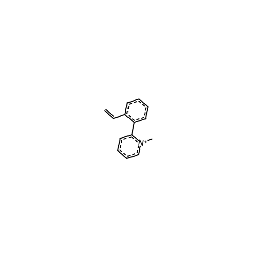 C=Cc1ccccc1-c1cccc[n+]1C